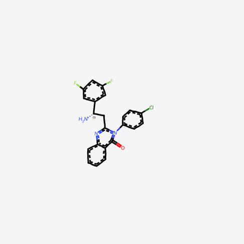 N[C@@H](Cc1nc2ccccc2c(=O)n1-c1ccc(Cl)cc1)c1cc(F)cc(F)c1